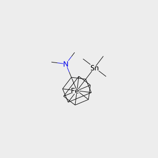 CN(C)[C]12[CH]3[CH]4[CH]5[C]1([Sn]([CH3])([CH3])[CH3])[Fe]43521678[CH]2[CH]1[CH]6[CH]7[CH]28